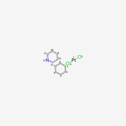 [Cl][Pt][Cl].c1ccccc1.c1ccncc1